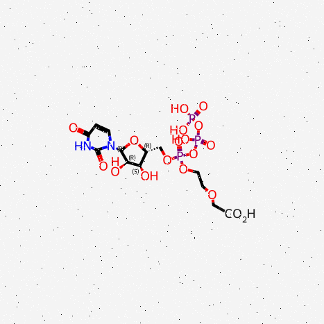 O=C(O)COCCOP(=O)(OC[C@H]1O[C@@H](n2ccc(=O)[nH]c2=O)[C@H](O)[C@@H]1O)OP(=O)(O)OP(=O)(O)O